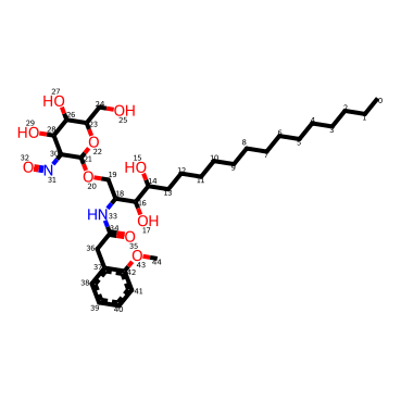 CCCCCCCCCCCCCCC(O)C(O)C(COC1OC(CO)C(O)C(O)C1N=O)NC(=O)Cc1ccccc1OC